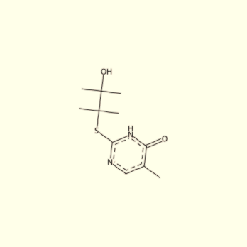 Cc1cnc(SC(C)(C)C(C)(C)O)[nH]c1=O